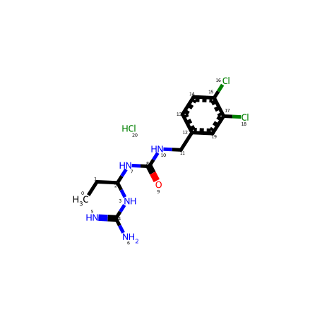 CCC(NC(=N)N)NC(=O)NCc1ccc(Cl)c(Cl)c1.Cl